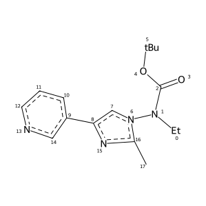 CCN(C(=O)OC(C)(C)C)n1cc(-c2cccnc2)nc1C